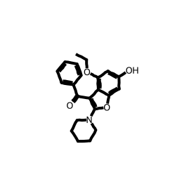 CCOc1cc(O)cc2oc(N3CCCCC3)c(C(=O)c3ccccc3)c12